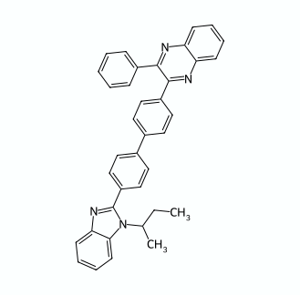 CCC(C)n1c(-c2ccc(-c3ccc(-c4nc5ccccc5nc4-c4ccccc4)cc3)cc2)nc2ccccc21